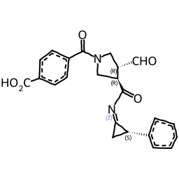 O=C[C@H]1CN(C(=O)c2ccc(C(=O)O)cc2)C[C@@H]1C(=O)/N=C1/C[C@H]1c1ccccc1